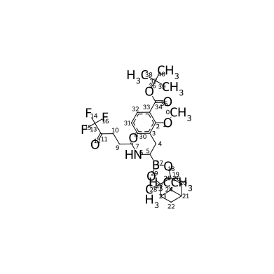 COc1c(CC(NC(=O)CCC(=O)C(F)(F)F)B2OC3CC4CC(C4(C)C)C3(C)O2)cccc1C(=O)OC(C)(C)C